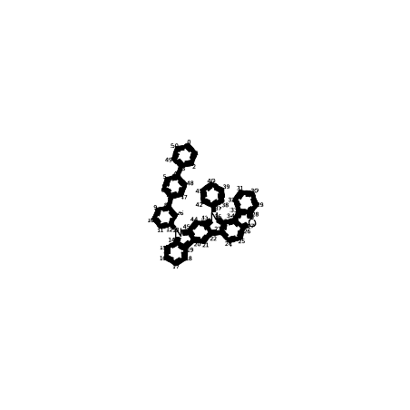 c1ccc(-c2ccc(-c3cccc(-n4c5ccccc5c5cc6c7ccc8oc9ccccc9c8c7n(-c7ccccc7)c6cc54)c3)cc2)cc1